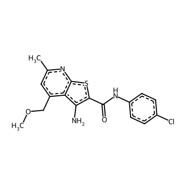 COCc1cc(C)nc2sc(C(=O)Nc3ccc(Cl)cc3)c(N)c12